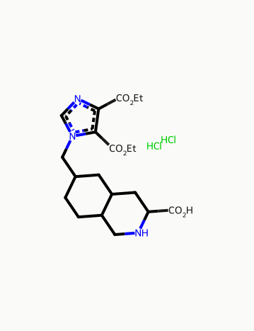 CCOC(=O)c1ncn(CC2CCC3CNC(C(=O)O)CC3C2)c1C(=O)OCC.Cl.Cl